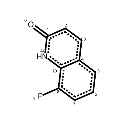 O=c1c[c]c2cccc(F)c2[nH]1